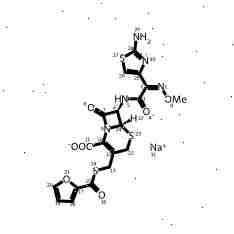 CO/N=C(\C(=O)N[C@@H]1C(=O)N2C(C(=O)[O-])=C(CSC(=O)c3ccco3)CS[C@@H]12)c1csc(N)n1.[Na+]